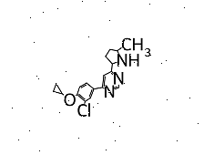 CC1CCC(c2cc(-c3ccc(OC4CC4)c(Cl)c3)ncn2)N1